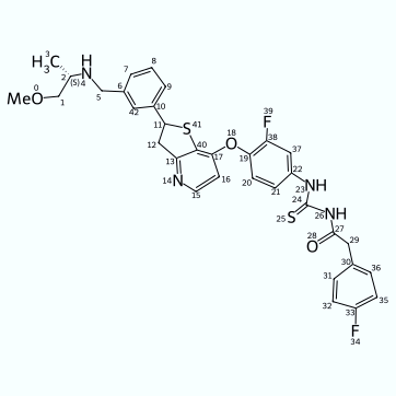 COC[C@H](C)NCc1cccc(C2Cc3nccc(Oc4ccc(NC(=S)NC(=O)Cc5ccc(F)cc5)cc4F)c3S2)c1